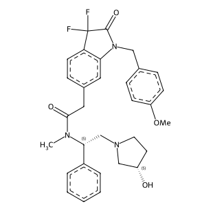 COc1ccc(CN2C(=O)C(F)(F)c3ccc(CC(=O)N(C)[C@H](CN4CC[C@H](O)C4)c4ccccc4)cc32)cc1